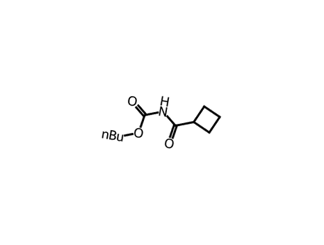 CCCCOC(=O)NC(=O)C1CCC1